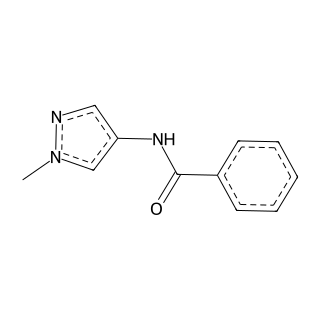 Cn1cc(NC(=O)c2ccccc2)cn1